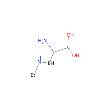 CCNBC(N)C(O)O